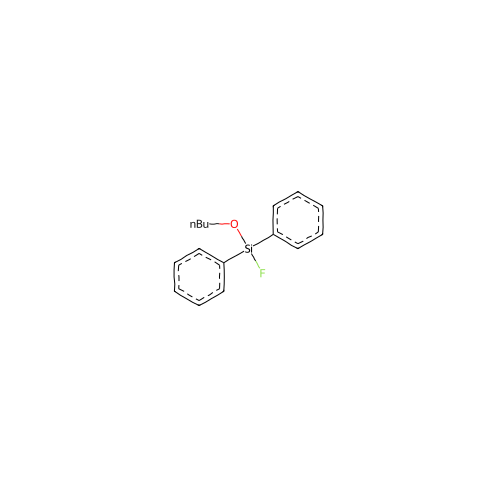 CCCCO[Si](F)(c1ccccc1)c1ccccc1